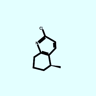 C[C@H]1CCCc2nc(Cl)ccc21